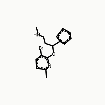 CNCCC(Oc1nc(C)ccc1Br)c1ccccc1